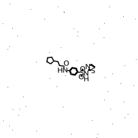 O=C(CCC1CCCC1)Nc1ccc(S(=O)(=O)Nc2nccs2)cc1